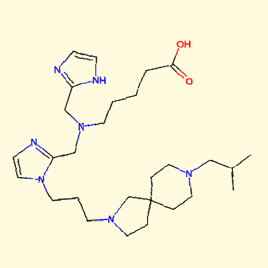 CC(C)CN1CCC2(CC1)CCN(CCCn1ccnc1CN(CCCCC(=O)O)Cc1ncc[nH]1)C2